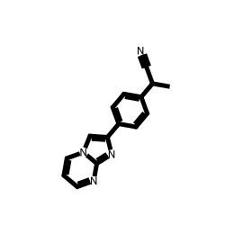 CC(C#N)c1ccc(-c2cn3cccnc3n2)cc1